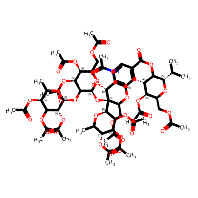 CC(=O)NC1[C@H](O[C@@H]2C(OC(=O)c3ccccc3)[C@H](C(C)C)OC(COC(C)=O)[C@H]2OC(C)=O)OC(COC(C)=O)[C@](O[C@@H]2OC(COC(C)=O)[C@H](OC(C)=O)[C@H](OC(C)=O)C2O[C@@H]2OC(C)[C@H](OC(C)=O)C(OC(C)=O)[C@H]2OC(C)=O)([C@@H]2OC(C)[C@@H](OC(C)=O)[C@H](OC(C)=O)C2OC(C)=O)[C@@H]1O